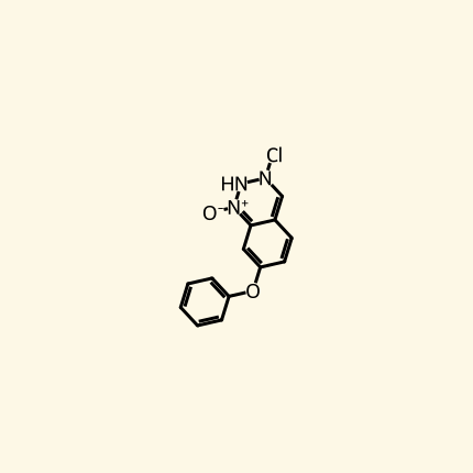 [O-][N+]1=c2cc(Oc3ccccc3)ccc2=CN(Cl)N1